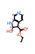 CCOC(=O)C1c2ccncc2NC1O